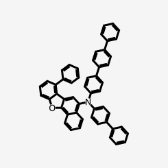 c1ccc(-c2ccc(-c3ccc(N(c4ccc(-c5ccccc5)cc4)c4cc5c(oc6cccc(-c7ccccc7)c65)c5ccccc45)cc3)cc2)cc1